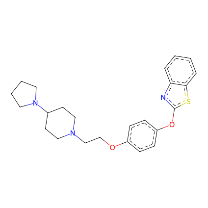 c1ccc2sc(Oc3ccc(OCCN4CCC(N5CCCC5)CC4)cc3)nc2c1